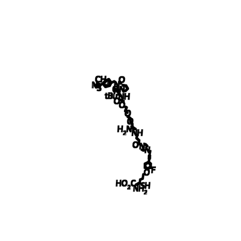 Cc1ncsc1-c1ccc(CNC(=O)[C@@H]2CCCN2C(=O)[C@@H](NC(=O)COCCOCCOC/C(N)=C/NCCCC(=O)N2CCN(CC#Cc3ccc(OCCC/C(S)=C(/N)C(=O)O)c(F)c3)CC2)C(C)(C)C)cc1